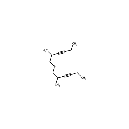 CCC#CC(C)C[B]CC(C)C#CCC